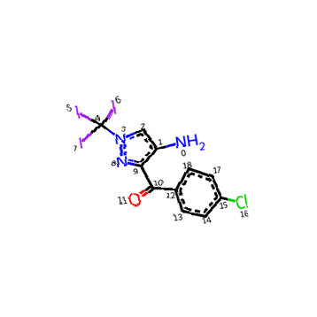 Nc1cn(C(I)(I)I)nc1C(=O)c1ccc(Cl)cc1